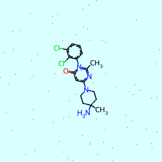 Cc1nc(N2CCC(C)(N)CC2)cc(=O)n1-c1cccc(Cl)c1Cl